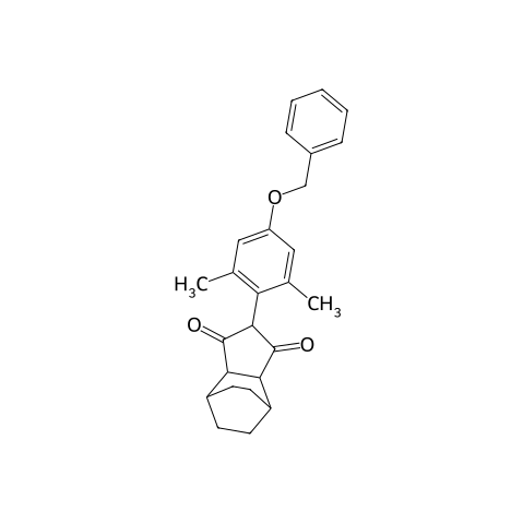 Cc1cc(OCc2ccccc2)cc(C)c1C1C(=O)C2C3CCC(CC3)C2C1=O